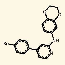 Brc1ccc(-c2ccnc(Nc3ccc4c(c3)OCCO4)c2)cc1